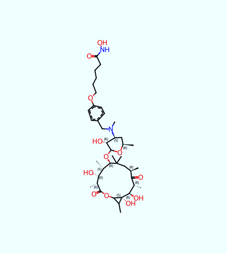 CC1C2OC(=O)[C@H](C)[C@H](O)[C@H](C)[C@@H](OC3O[C@H](C)C[C@H](N(C)Cc4ccc(OCCCCCC(=O)NO)cc4)[C@H]3O)C(C)(C)C[C@@H](C)C(=O)[C@H](C)[C@@H](O)[C@@]12O